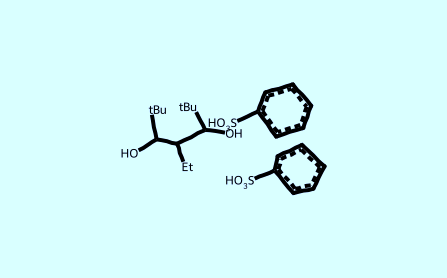 CCC(C(O)C(C)(C)C)C(O)C(C)(C)C.O=S(=O)(O)c1ccccc1.O=S(=O)(O)c1ccccc1